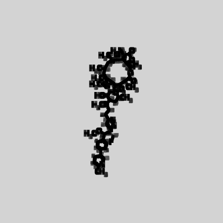 CO[C@H](c1ccc(-c2ccc(C)nc2)cc1)[C@@H](CF)n1cc(CCN(C)C2C[C@@H](C)O[C@@H](O[C@@H]3[C@@H](C)C(=O)[C@@H](C)C(=O)O[C@H](I)[C@@]4(C)OC(=O)N(N)C4[C@@H](C)N(C)C[C@H](C)C[C@@]3(C)OC)[C@@H]2O)nn1